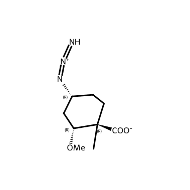 CO[C@@H]1C[C@H](N=[N+]=N)CC[C@@]1(C)C(=O)[O-]